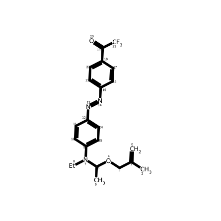 C=C(C)COC(C)N(CC)c1ccc(/N=N/c2ccc(C(=O)C(F)(F)F)cc2)cc1